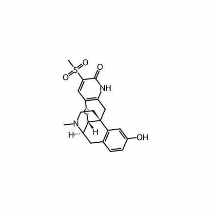 CN1CC[C@]23Cc4[nH]c(=O)c(S(C)(=O)=O)cc4C[C@H]2[C@H]1Cc1ccc(O)cc13